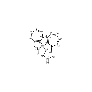 CN(C)C(C1=CC=CC=CN1)(C1=CC=CC=CN1)C1CCNC1